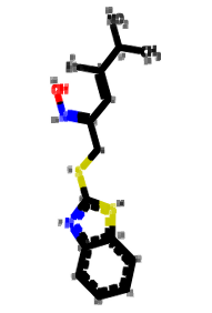 CCC(=CC(CSc1nc2ccccc2s1)=NO)C(C)[N+](=O)[O-]